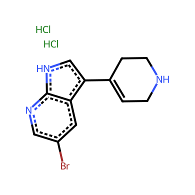 Brc1cnc2[nH]cc(C3=CCNCC3)c2c1.Cl.Cl